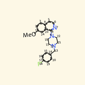 COc1ccc2ccnc(N3CCN(Cc4ccc(F)cc4)CC3)c2c1